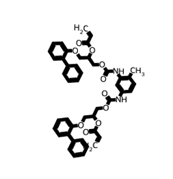 C=CC(=O)OC(COC(=O)Nc1ccc(C)c(NC(=O)OCC(COc2ccccc2-c2ccccc2)OC(=O)C=C)c1)COc1ccccc1-c1ccccc1